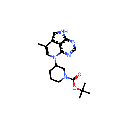 CC1=CN(C2CCCN(C(=O)OC(C)(C)C)C2)c2ncnc3[nH]cc1c23